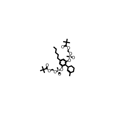 CCCCCc1cc(OP(C)(=O)OCOC(=O)C(C)(C)C)c(C2C=C(C)CCC2)c(OP(C)(=O)OCOC(=O)C(C)(C)C)c1